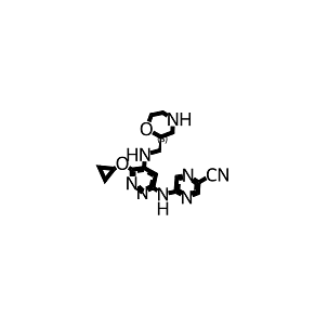 N#Cc1cnc(Nc2cc(NC[C@@H]3CNCCO3)c(OC3CC3)nn2)cn1